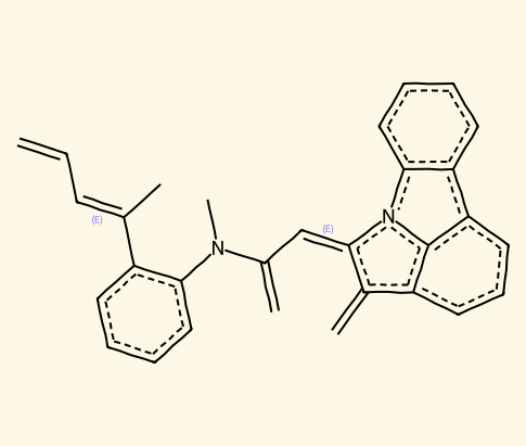 C=C/C=C(\C)c1ccccc1N(C)C(=C)/C=c1\c(=C)c2cccc3c4ccccc4n1c23